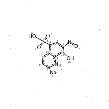 O=Nc1cc(S(=O)(=O)O)c2cccnc2c1O.[Na]